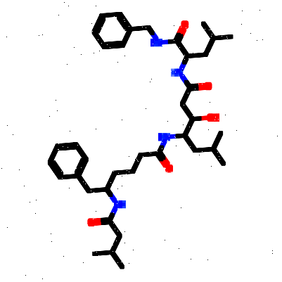 CC(C)CC(=O)NC(CCCC(=O)NC(CC(C)C)C(O)CC(=O)NC(CC(C)C)C(=O)NCc1ccccc1)Cc1ccccc1